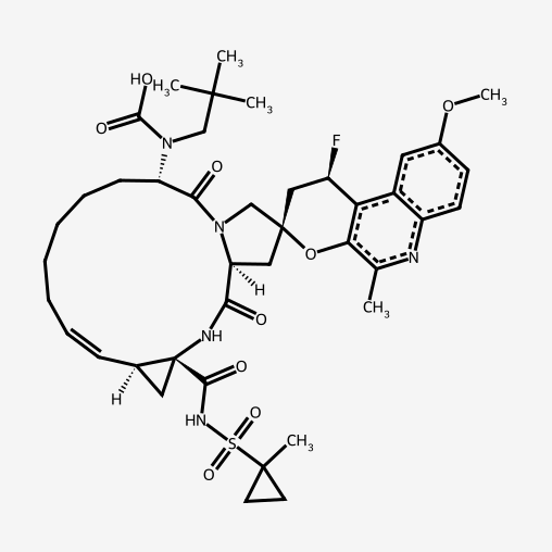 COc1ccc2nc(C)c3c(c2c1)[C@H](F)C[C@]1(C[C@H]2C(=O)N[C@]4(C(=O)NS(=O)(=O)C5(C)CC5)C[C@H]4/C=C\CCCCC[C@H](N(CC(C)(C)C)C(=O)O)C(=O)N2C1)O3